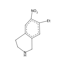 CCc1cc2c(cc1[N+](=O)[O-])CCNC2